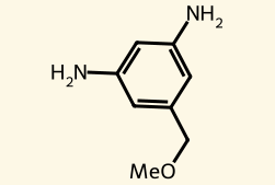 COCc1cc(N)cc(N)c1